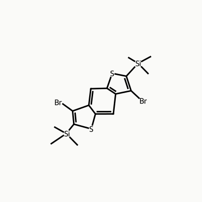 C[Si](C)(C)c1sc2cc3c(Br)c([Si](C)(C)C)sc3cc2c1Br